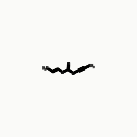 CC#COC(=O)OC=CC